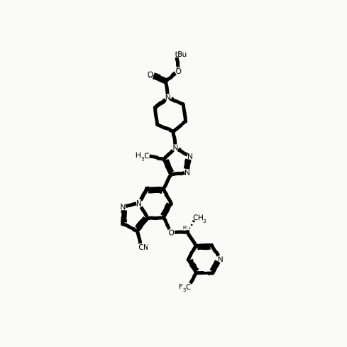 Cc1c(-c2cc(O[C@H](C)c3cncc(C(F)(F)F)c3)c3c(C#N)cnn3c2)nnn1C1CCN(C(=O)OC(C)(C)C)CC1